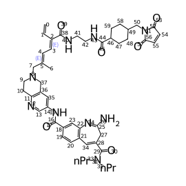 C=C/C(=C\C=C(/C)CN1CCc2ncc(NC(=O)c3ccc4c(c3)N=C(N)CC(C(=O)N(CCC)CCC)=C4)cc2C1)C(=O)NCCNC(=O)C1CCC(CN2C(=O)C=CC2=O)CC1